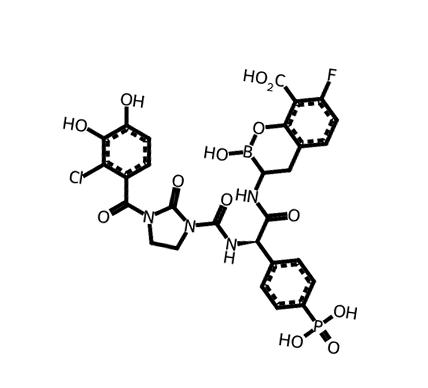 O=C(O)c1c(F)ccc2c1OB(O)C(NC(=O)[C@H](NC(=O)N1CCN(C(=O)c3ccc(O)c(O)c3Cl)C1=O)c1ccc(P(=O)(O)O)cc1)C2